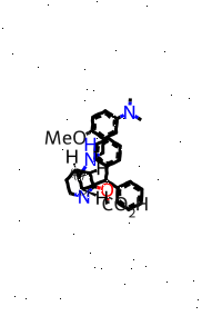 COc1ccc(N(C)C)cc1CN[C@H]1[C@H]2CCN(C(OC(=O)O)C2)[C@H]1C(c1ccccc1)c1ccccc1